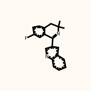 CC1(C)Cc2ccc(F)cc2C(c2cnc3ccccc3c2)=N1